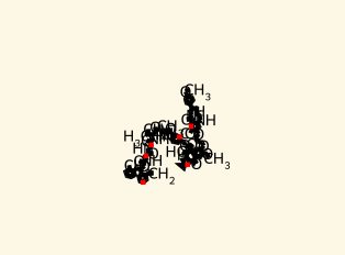 C=Cc1ccccc1C(Cc1ccccc1C)OC(=O)NCC(=O)NCC(=O)N[C@H](C(=O)N[C@@H](C)C(=O)Nc1ccc(COC(=O)N2c3cc(OCCCOc4cc5c(cc4OC)C(=O)N4C=C(c6ccc(OC)cc6)C[C@H]4CN5)c(OC)cc3C(=O)N3CC4(CC4)C[C@H]3C2O)cc1)C(C)C